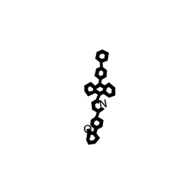 c1ccc(-c2ccc(-c3c4ccccc4c(-c4ccc(-c5ccc6c(c5)oc5ccccc56)cn4)c4ccccc34)cc2)cc1